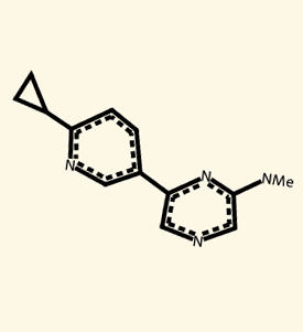 CNc1cncc(-c2ccc(C3CC3)nc2)n1